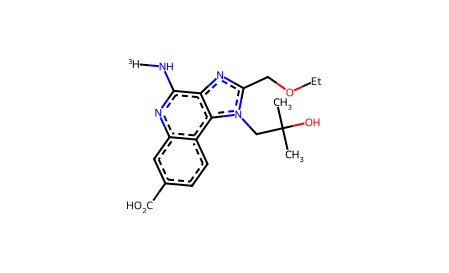 [3H]Nc1nc2cc(C(=O)O)ccc2c2c1nc(COCC)n2CC(C)(C)O